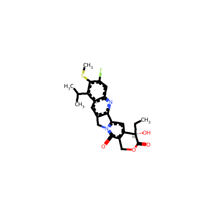 CC[C@@]1(O)C(=O)OCc2c1cc1n(c2=O)Cc2cc3c(C(C)C)c(SC)c(F)cc3nc2-1